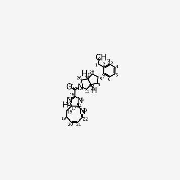 CCc1ccccc1[C@@H]1C[C@@H]2CN(C(=O)C3=N[C@H]4CC/C=C\C=N/C4=N3)C[C@@H]2C1